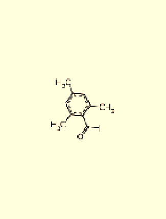 Cc1cc(C)c(C(=O)I)c(C)c1